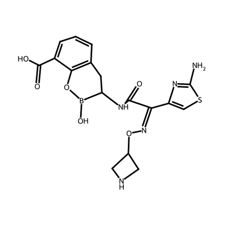 Nc1nc(C(=NOC2CNC2)C(=O)NC2Cc3cccc(C(=O)O)c3OB2O)cs1